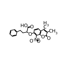 Cc1c(C)c2ccc(OC(CCc3ccccc3)C(=O)O)c([N+](=O)[O-])c2oc1=O